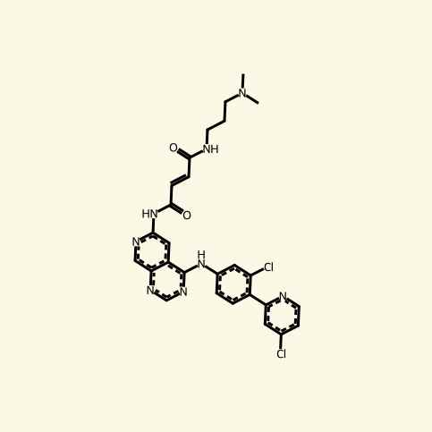 CN(C)CCCNC(=O)C=CC(=O)Nc1cc2c(Nc3ccc(-c4cc(Cl)ccn4)c(Cl)c3)ncnc2cn1